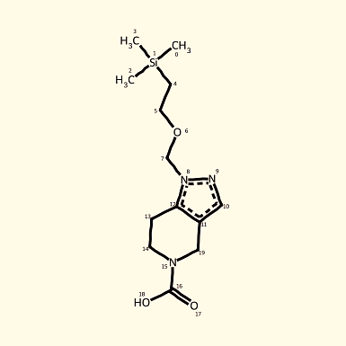 C[Si](C)(C)CCOCn1ncc2c1CCN(C(=O)O)C2